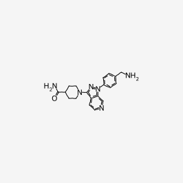 NCc1ccc(-n2nc(N3CCC(C(N)=O)CC3)c3ccncc32)cc1